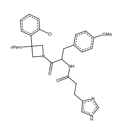 CCCCCC1(c2ccccc2Cl)CN(C(=O)C(Cc2ccc(OC)cc2)NC(=O)CCc2c[nH]cn2)C1